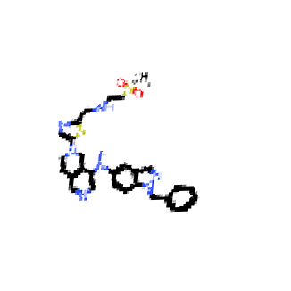 CS(=O)(=O)CCNCc1ncc(N2C=Cc3cncc(Nc4ccc5c(cnn5Cc5ccccc5)c4)c3C2)s1